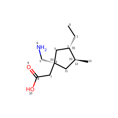 CC[C@H]1C[C@](CN)(CC(=O)O)C[C@@H]1C